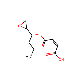 CCCC(OC(=O)/C=C\C(=O)O)C1CO1